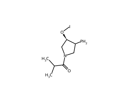 CC(C)C(=O)N1CC(P)[C@H](OI)C1